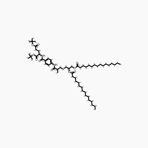 CCCCCCCCCCCCCCCC(=O)OCC(CSCC(C)C(=O)Nc1ccc(C(=O)NC(CCC(=O)OC(C)(C)C)C(=O)OC(C)(C)C)cc1)OC(=O)CCCCCCCCCCCCCCC